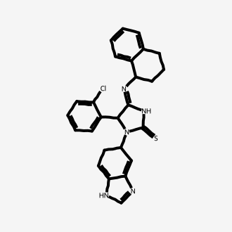 S=C1N/C(=N\C2CCCc3ccccc32)C(c2ccccc2Cl)N1C1C=c2nc[nH]c2=CC1